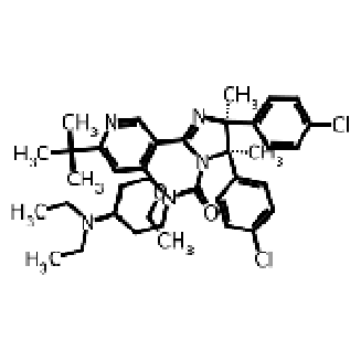 CCOc1cc(C(C)(C)C)ncc1C1=N[C@@](C)(c2ccc(Cl)cc2)[C@@](C)(c2ccc(Cl)cc2)N1C(=O)N1CCC(N(CC)CC)CC1